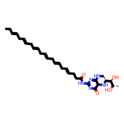 CCC=CCC=CCC=CCC=CCC=CCC=CCCC(=O)NC1=NC(=O)C2N[C@@H]([C@@H](O)[C@H](C)O)CNC2=N1